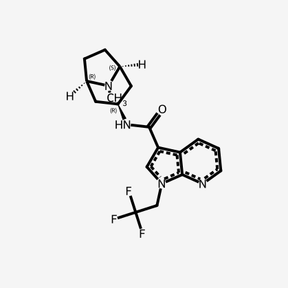 CN1[C@@H]2CC[C@H]1C[C@@H](NC(=O)c1cn(CC(F)(F)F)c3ncccc13)C2